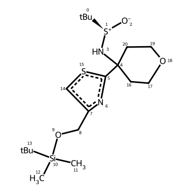 CC(C)(C)[S@@+]([O-])NC1(c2nc(CO[Si](C)(C)C(C)(C)C)cs2)CCOCC1